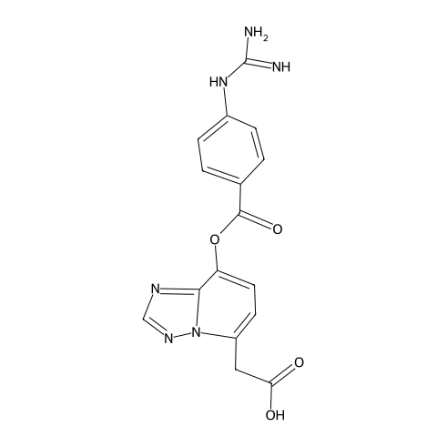 N=C(N)Nc1ccc(C(=O)Oc2ccc(CC(=O)O)n3ncnc23)cc1